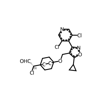 O=C[C@@H](Cl)C12CCC(OCc3c(-c4c(Cl)cncc4Cl)noc3C3CC3)(CC1)CC2